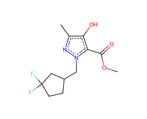 COC(=O)c1c(O)c(C)nn1CC1CCC(F)(F)C1